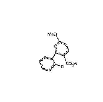 COc1ccc(C(=O)O)c(-c2ccccc2Cl)c1